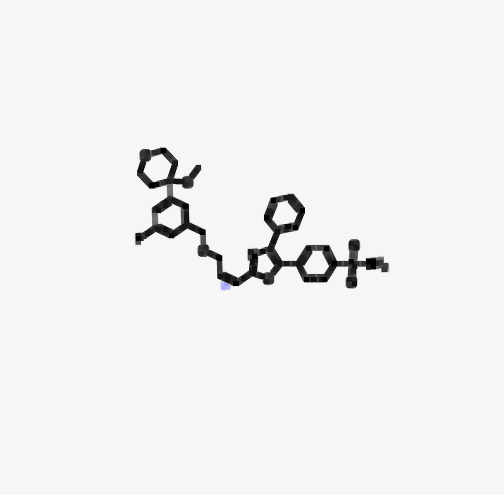 COC1(c2cc(F)cc(COC/C=C\c3nc(-c4ccccc4)c(-c4ccc(S(N)(=O)=O)cc4)o3)c2)CCOCC1